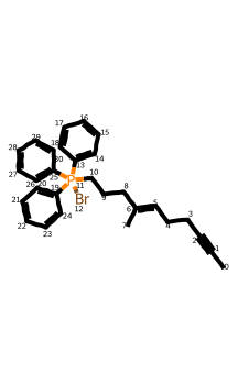 CC#CCC/C=C(\C)CCCP(Br)(c1ccccc1)(c1ccccc1)c1ccccc1